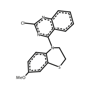 COc1ccc2c(c1)SCCN2c1nc(Cl)nc2ccccc12